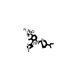 CCC(C)c1ccc(Nc2ccc(S(N)(=O)=O)c(C)c2-c2cn(C)cn2)nc1